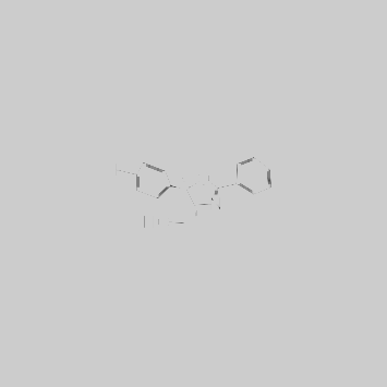 OC[C@H]1N=C(c2ccccc2)O[C@@H]1c1ccc(I)cc1